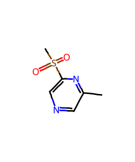 Cc1cncc(S(C)(=O)=O)n1